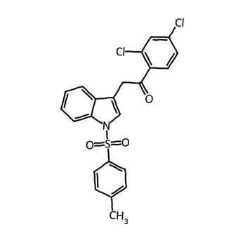 Cc1ccc(S(=O)(=O)n2cc(CC(=O)c3ccc(Cl)cc3Cl)c3ccccc32)cc1